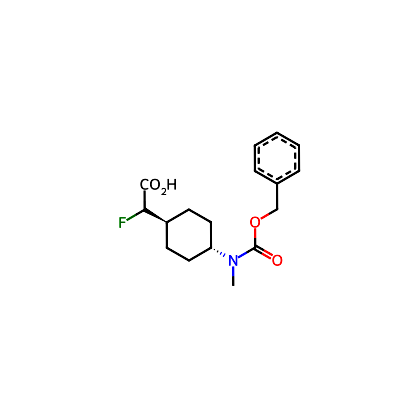 CN(C(=O)OCc1ccccc1)[C@H]1CC[C@H](C(F)C(=O)O)CC1